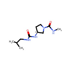 CNC(=O)N1CC[C@H](NC(=O)NCC(C)C)C1